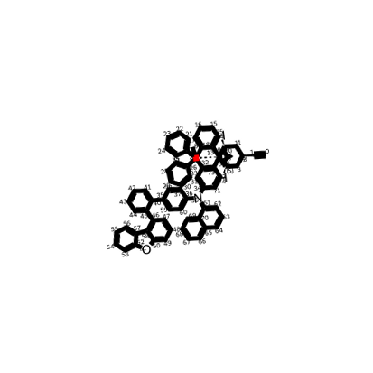 C#C[C@H]1C[C@@H]2C[C@@H](CC)C[C@H](C1)C21c2ccccc2C(c2ccccc2)(c2ccccc2)c2cc(N(c3ccc(-c4ccccc4-c4cccc5oc6ccccc6c45)cc3)c3cccc4ccccc34)ccc21